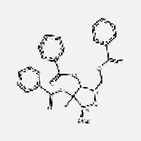 CC(=O)O[C@@H]1O[C@H](COC(=O)c2ccccc2)C(OC(=O)c2ccccc2)C1(C)OC(=O)c1ccccc1